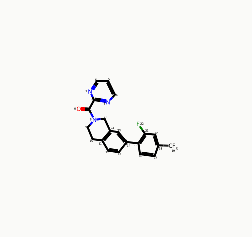 O=C(c1ncccn1)N1CCc2ccc(-c3ccc(C(F)(F)F)cc3F)cc2C1